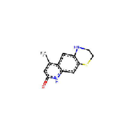 O=c1cc(C(F)(F)F)c2cc3c(cc2[nH]1)SCCN3